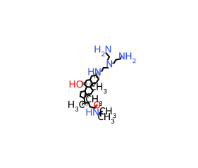 CC(C)NC(=O)CC[C@@H](C)C1CCC2C3C(CC[C@@]21C)[C@@]1(C)CC[C@H](NCCCN(CCCN)CCCN)CC1C[C@@H]3O